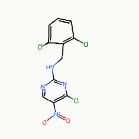 O=[N+]([O-])c1cnc(NCc2c(Cl)cccc2Cl)nc1Cl